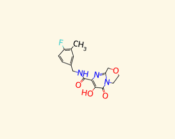 Cc1cc(CNC(=O)c2nc3n(c(=O)c2O)CCOC3)ccc1F